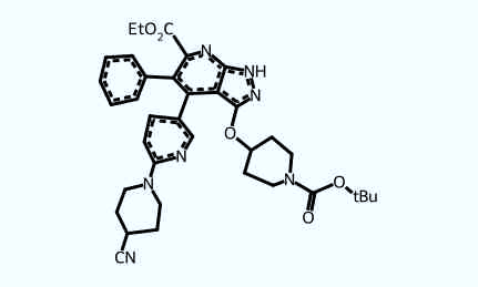 CCOC(=O)c1nc2[nH]nc(OC3CCN(C(=O)OC(C)(C)C)CC3)c2c(-c2ccc(N3CCC(C#N)CC3)nc2)c1-c1ccccc1